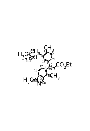 CCOC(=O)C[C@H](c1ccc(C)c(CO[Si](C)(C)C(C)(C)C)c1)c1ccc2c(nnn2C)c1C